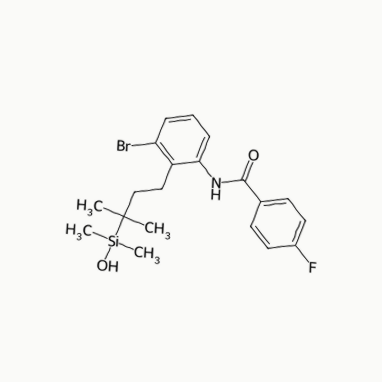 CC(C)(CCc1c(Br)cccc1NC(=O)c1ccc(F)cc1)[Si](C)(C)O